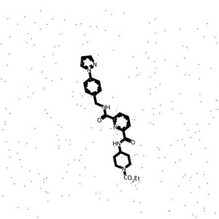 CCOC(=O)N1CCC(NC(=O)c2cccc(C(=O)NCc3ccc(-n4cccn4)cc3)n2)CC1